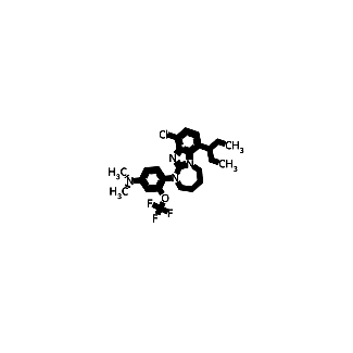 CCC(CC)c1ccc(Cl)c2nc3n(c12)CCCCN3c1ccc(N(C)C)cc1OC(F)(F)F